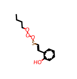 CCCCOOOS/C=C/c1ccccc1O